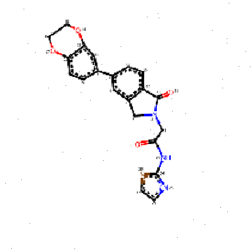 O=C(CN1Cc2cc(-c3ccc4c(c3)OCCO4)ccc2C1=O)Nc1nccs1